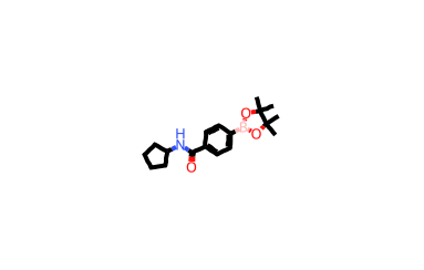 CC1(C)OB(c2ccc(C(=O)NC3CCCC3)cc2)OC1(C)C